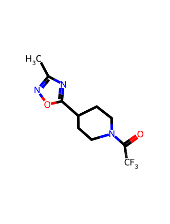 Cc1noc(C2CCN(C(=O)C(F)(F)F)CC2)n1